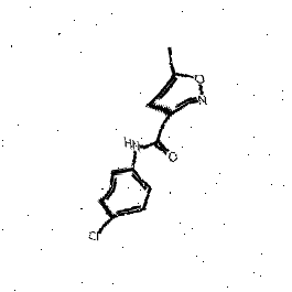 Cc1cc(C(=O)Nc2ccc(Cl)cc2)no1